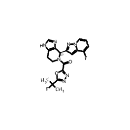 CC(C)(F)c1nnc(C(=O)N2CCc3[nH]cnc3[C@H]2c2cc3c(F)cccn3n2)o1